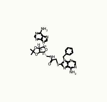 CC1(C)OC2[C@@H](CNC(=O)CSc3nc4c(N)ncnc4n3Cc3ccccc3)O[C@@H](n3cnc4c(N)ncnc43)[C@H]2O1